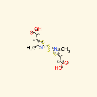 CC1=NC(SSC2N=C(C)C(=CCC(=O)O)S2)SC1=CCC(=O)O